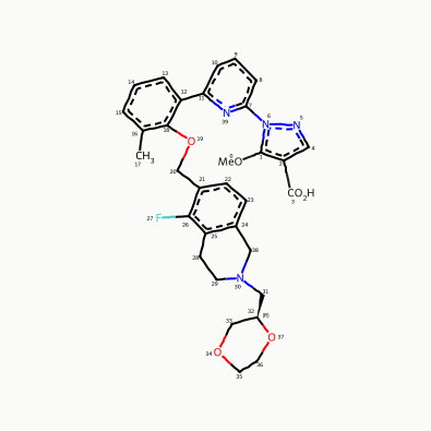 COc1c(C(=O)O)cnn1-c1cccc(-c2cccc(C)c2OCc2ccc3c(c2F)CCN(C[C@@H]2COCCO2)C3)n1